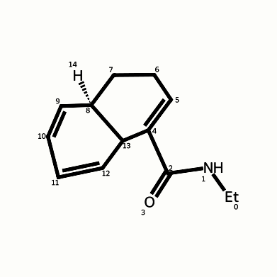 CCNC(=O)C1=CCC[C@@H]2C=CC=CC12